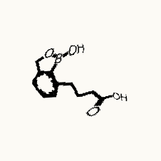 O=C(O)CCCc1cccc2c1B(O)OC2